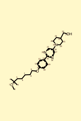 COC(C)(C)CCCCCOc1ccc(-c2ncc(N3CCC(CO)CC3)cn2)cc1